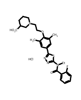 CCN(C(=O)c1ccccc1F)c1nnc(-c2cc(C)c(OCCN3CCCC(C(=O)O)C3)c(C)c2)s1.Cl